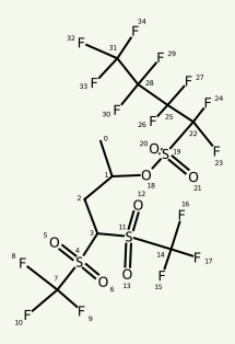 CC(CC(S(=O)(=O)C(F)(F)F)S(=O)(=O)C(F)(F)F)OS(=O)(=O)C(F)(F)C(F)(F)C(F)(F)C(F)(F)F